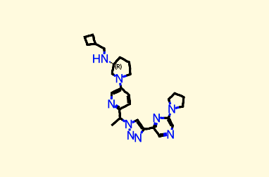 CC(c1ccc(N2CCC[C@@H](NCC3CCC3)C2)cn1)n1cc(-c2cncc(N3CCCC3)n2)nn1